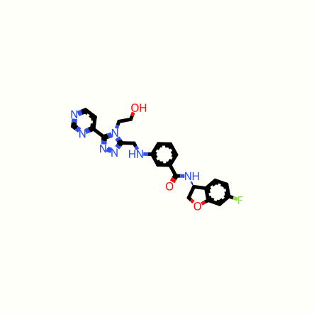 O=C(N[C@H]1COc2cc(F)ccc21)c1cccc(NCc2nnc(-c3ccncn3)n2CCO)c1